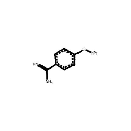 [CH2]CCOc1ccc(C(=N)N)cc1